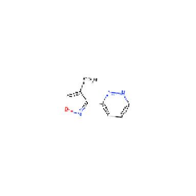 O=C(O)c1conc1-c1cccnn1